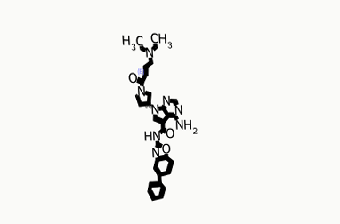 CCN(CC)C/C=C/C(=O)N1CC[C@@H](n2cc(C(=O)Nc3nc4cc(-c5ccccc5)ccc4o3)c3c(N)ncnc32)C1